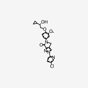 COc1cc(N2Cc3cn(-c4ccc(Cl)cn4)nc3C2=O)ccc1OC[C@H](O)C1CC1